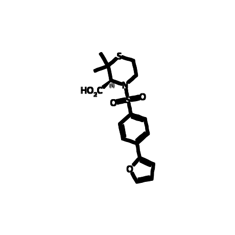 CC1(C)SCCN(S(=O)(=O)c2ccc(-c3ccco3)cc2)[C@H]1C(=O)O